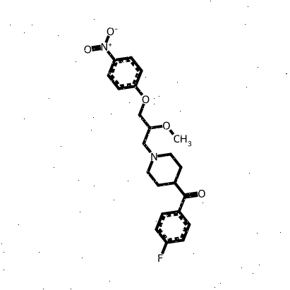 COC(COc1ccc([N+](=O)[O-])cc1)CN1CCC(C(=O)c2ccc(F)cc2)CC1